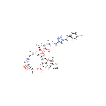 CC[C@H]1OC(=O)[C@H](C)[C@@H](C2C[C@@](C)(OC)[C@@H](O)[C@H](C)O2)[C@H](C)[C@@H](O[C@@H]2O[C@H](C)C[C@H](N(C)CCCc3cn(CCc4ccc(F)cc4)nn3)[C@H]2O)[C@](C)(O)C[C@@H](C)CN(C)[C@H](C)[C@@H](O)[C@]1(C)O